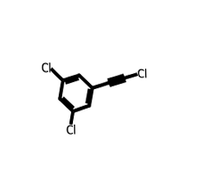 ClC#Cc1cc(Cl)cc(Cl)c1